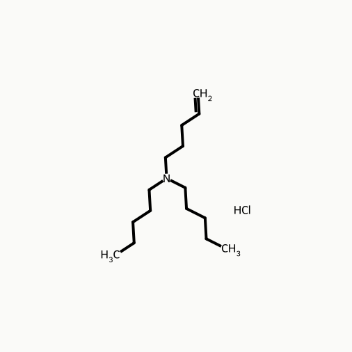 C=CCCCN(CCCCC)CCCCC.Cl